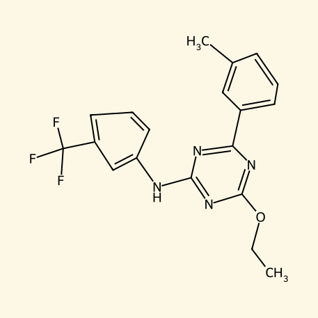 CCOc1nc(Nc2cccc(C(F)(F)F)c2)nc(-c2cccc(C)c2)n1